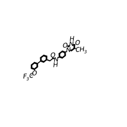 Cc1cn(-c2ccc(NC(=O)Cc3cccc(-c4cccc(OC(F)(F)F)c4)c3)cc2)c(=O)[nH]c1=O